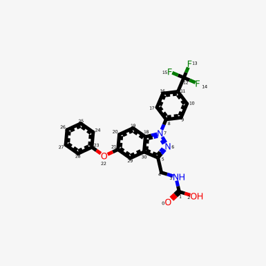 O=C(O)NCc1nn(-c2ccc(C(F)(F)F)cc2)c2ccc(Oc3ccccc3)cc12